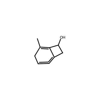 CC1=C2C(=C=CC1)CC2O